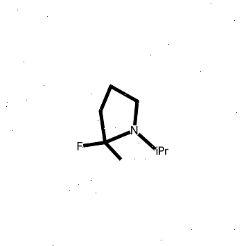 CC(C)N1CCCC1(C)F